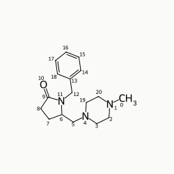 CN1CCN(CC2CCC(=O)N2Cc2ccccc2)CC1